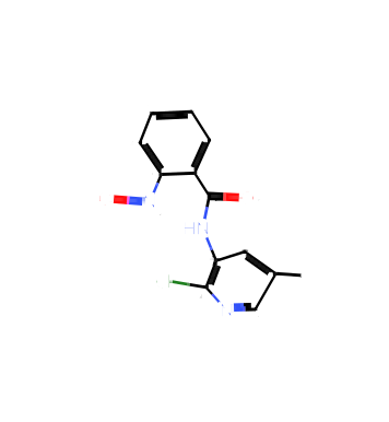 Cc1cnc(Cl)c(NC(=O)c2ccccc2N=O)c1